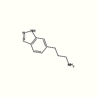 NCCCc1ccc2cn[nH]c2c1